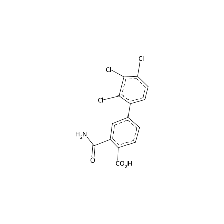 NC(=O)c1cc(-c2ccc(Cl)c(Cl)c2Cl)ccc1C(=O)O